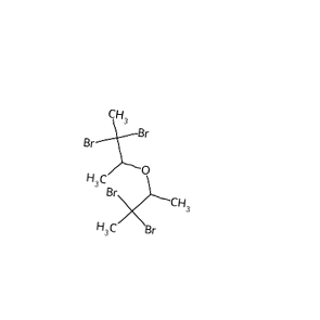 CC(OC(C)C(C)(Br)Br)C(C)(Br)Br